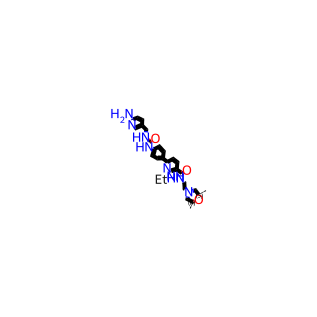 CCNc1nc(-c2ccc(NC(=O)NCc3ccc(N)nc3)cc2)ccc1C(=O)NCCN1C[C@@H](C)O[C@@H](C)C1